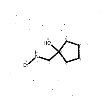 CCNCC1(O)CCCC1